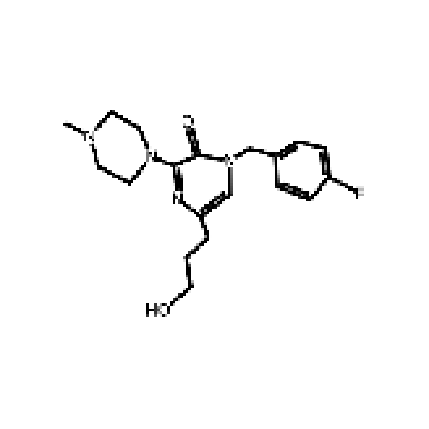 CN1CCN(c2nc(CCCO)cn(Cc3ccc(F)cc3)c2=O)CC1